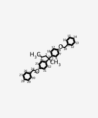 CCCC(C)(c1ccc(OCc2ccccc2)cc1)c1ccc(OCc2ccccc2)cc1